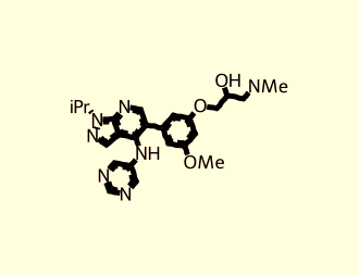 CNCC(O)COc1cc(OC)cc(-c2cnc3c(cnn3C(C)C)c2Nc2cncnc2)c1